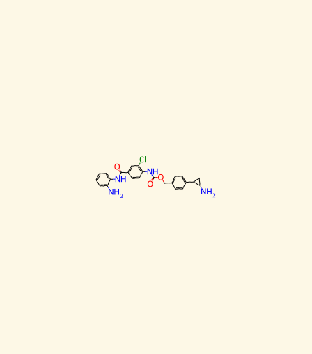 Nc1ccccc1NC(=O)c1ccc(NC(=O)OCc2ccc(C3C[C@@H]3N)cc2)c(Cl)c1